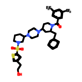 O=C(c1cc(C(F)(F)F)cc(C(F)(F)F)c1)N1CCC(N2CCN(C3CCCN(S(=O)(=O)c4cc(CCO)cs4)C3)CC2)CC1Cc1ccccc1